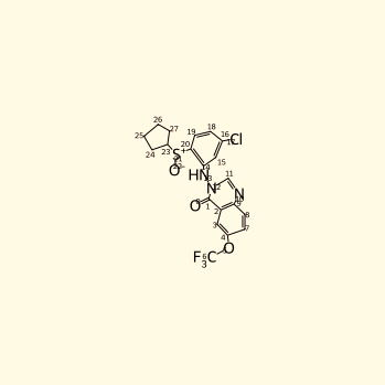 O=c1c2cc(OC(F)(F)F)ccc2ncn1Nc1cc(Cl)ccc1[S+]([O-])C1CCCC1